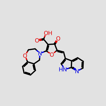 O=C(O)C1=C(N2CCOc3ccccc3C2)OC(=Cc2c[nH]c3ncccc23)C1=O